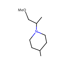 COCC(C)N1CCC(C)CC1